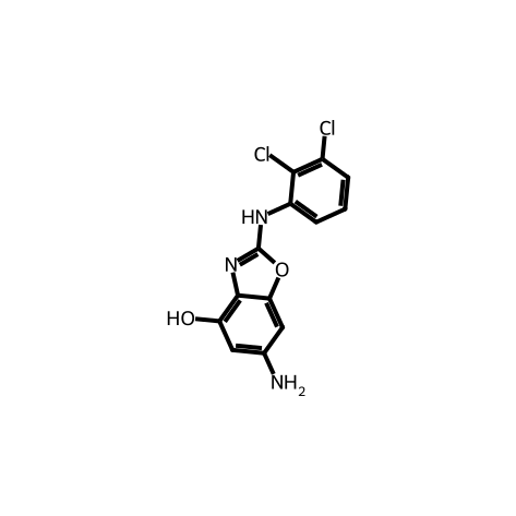 Nc1cc(O)c2nc(Nc3cccc(Cl)c3Cl)oc2c1